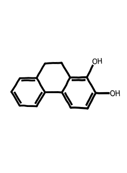 Oc1ccc2c(c1O)CCc1ccccc1-2